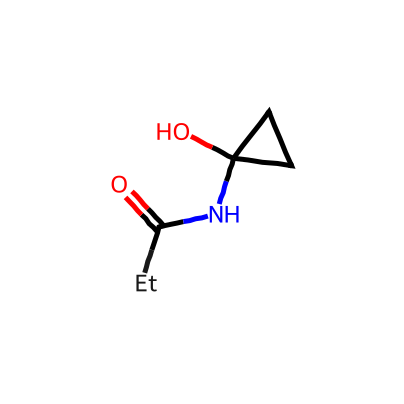 CCC(=O)NC1(O)CC1